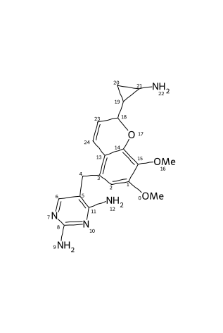 COc1cc(Cc2cnc(N)nc2N)c2c(c1OC)OC(C1CC1N)C=C2